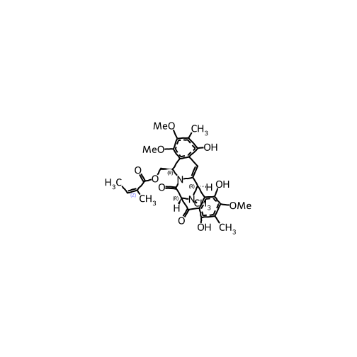 C/C=C(/C)C(=O)OC[C@H]1c2c(c(O)c(C)c(OC)c2OC)C=C2[C@H]3c4c(O)c(OC)c(C)c(O)c4C(=O)[C@H](C(=O)N21)N3C